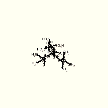 BSCCCCOc1cc(C(=O)NCCCNC(=O)c2cc(C(=O)NCCCNC(=O)c3cc(OCCCCSB)c(OCCCCSB)c(OCCCCSB)c3)cc3c2C(C)(C)/C(=C\C=C\C2=[N+](CCCS(=O)(=O)O)c4cc(C(=O)NCCS(=O)(=O)O)cc(C(=O)NCCS(=O)(=O)O)c4C2(C)C)N3CCCS(=O)(=O)O)cc(OCCCCI)c1OCCCCSB